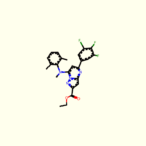 CCOC(=O)c1cc2nc(-c3cc(F)c(F)c(F)c3)cc(N(C)c3c(C)cccc3C)n2n1